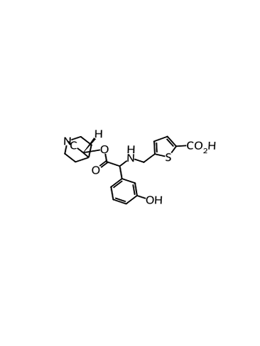 O=C(O)c1ccc(CNC(C(=O)O[C@H]2CN3CCC2CC3)c2cccc(O)c2)s1